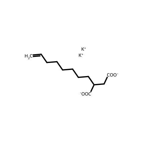 C=CCCCCCCC(CC(=O)[O-])C(=O)[O-].[K+].[K+]